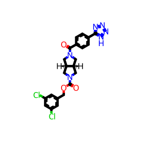 O=C(OCc1cc(Cl)cc(Cl)c1)N1C[C@@H]2CN(C(=O)c3ccc(-c4nnn[nH]4)cc3)C[C@@H]2C1